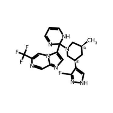 C[C@H]1C[C@@H](c2c[nH]nc2F)CN(C2(c3cnc4cnc(C(F)(F)F)cn34)N=CC=CN2)C1